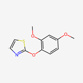 COc1ccc(Oc2n[c]cs2)c(OC)c1